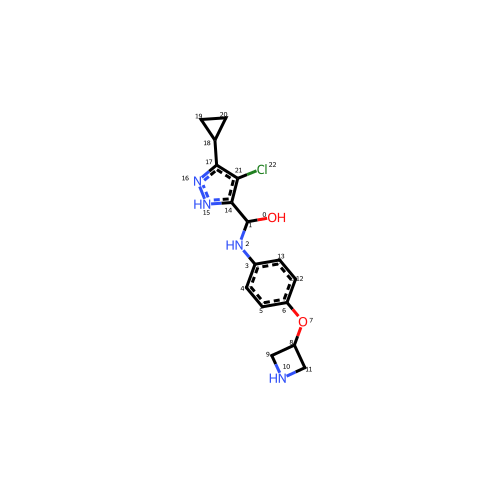 OC(Nc1ccc(OC2CNC2)cc1)c1[nH]nc(C2CC2)c1Cl